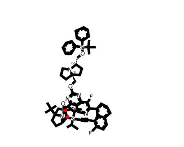 CC(C)[Si](C#Cc1c(F)ccc2cccc(-c3ncc4c(N5CC6CCC(C(C)(C)C)(C5)N6C(=O)O)nc(OC[C@@]56CCCN5[C@H](CO[Si](c5ccccc5)(c5ccccc5)C(C)(C)C)CC6)nc4c3F)c12)(C(C)C)C(C)C